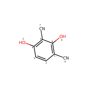 N#Cc1ccc(O)c(C#N)c1O